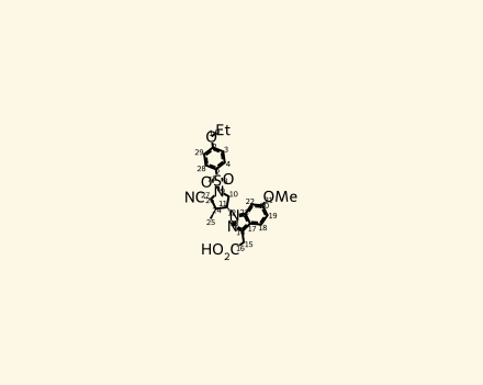 CCOc1ccc(S(=O)(=O)N2C[C@H](n3nc(CC(=O)O)c4ccc(OC)cc43)[C@@H](C)[C@@H]2C#N)cc1